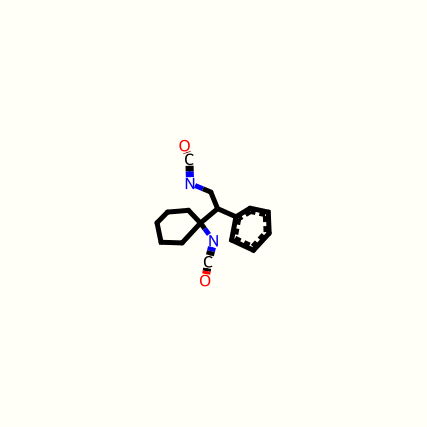 O=C=NCC(c1ccccc1)C1(N=C=O)CCCCC1